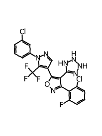 Fc1cccc(Cl)c1-c1noc(-c2cnn(-c3cccc(Cl)c3)c2C(F)(F)F)c1C1=NNNN1